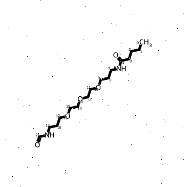 CCCCC(=O)NCCCOCCOCCOCCCNC=O